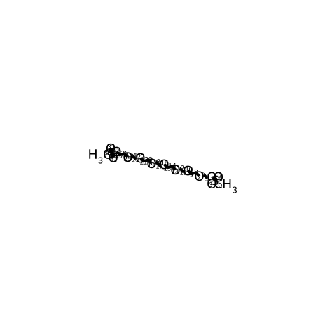 CS(=O)(=O)OCCOCCOCCOCCOCCOCCOCCOCCOS(C)(=O)=O